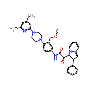 COCc1cc(NC(=O)C(=O)C2C(c3ccccc3)C=C3C=CC=CN32)ccc1N1CCN(c2cc(C)cc(C)n2)CC1